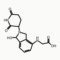 O=C(O)CNc1cccc2c1CN(C1CCC(=O)NC1=O)C2O